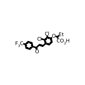 CCC(Oc1ccc(C=CC(=O)c2ccc(C(F)(F)F)cc2)c(Cl)c1Cl)C(=O)O